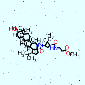 C=C(C)[C@@H]1CC[C@]2(C(=O)N[C@@H]3C[C@H](C(=O)NCCC(=O)OC)C3(C)C)CC[C@]3(C)[C@H](CC[C@@H]4[C@@]5(C)CC[C@H](O)C(C)(C)[C@@H]5CC[C@]43C)[C@@H]12